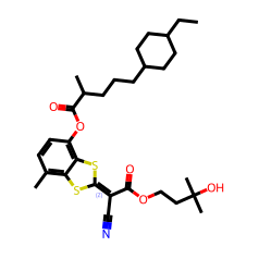 CCC1CCC(CCCC(C)C(=O)Oc2ccc(C)c3c2S/C(=C(/C#N)C(=O)OCCC(C)(C)O)S3)CC1